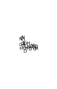 O=C(N[C@@H](Cc1ccccc1)[C@@H](O)CC(OC1CCCC1)S(=O)(=O)c1ccc2nccnc2c1)O[C@H]1CO[C@H]2OCC[C@H]21